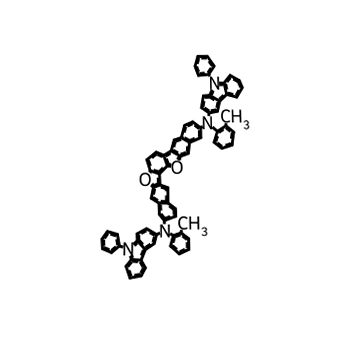 Cc1ccccc1N(c1ccc2cc3c(cc2c1)oc1c3ccc2oc3cc4cc(N(c5ccc6c(c5)c5ccccc5n6-c5ccccc5)c5ccccc5C)ccc4cc3c21)c1ccc2c(c1)c1ccccc1n2-c1ccccc1